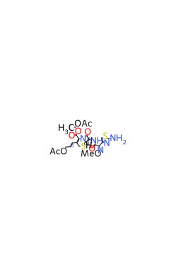 CO/N=C(\C(=O)N[C@@H]1C(=O)N2C(C(=O)OC(C)OC(C)=O)=C(/C=C/COC(C)=O)CS[C@@H]12)c1csc(N)n1